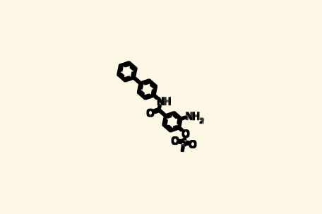 CS(=O)(=O)Oc1ccc(C(=O)Nc2ccc(-c3ccccc3)cc2)cc1N